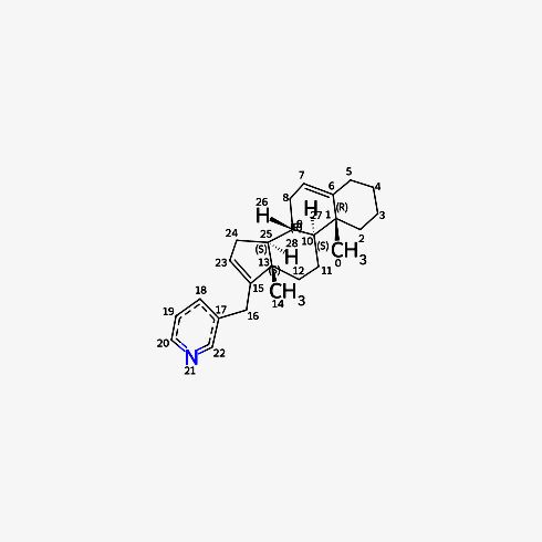 C[C@]12CCCCC1=CC[C@@H]1[C@@H]2CC[C@]2(C)C(Cc3cccnc3)=CC[C@@H]12